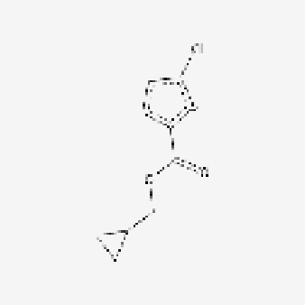 O=C(OCC1CC1)c1ccc(Cl)s1